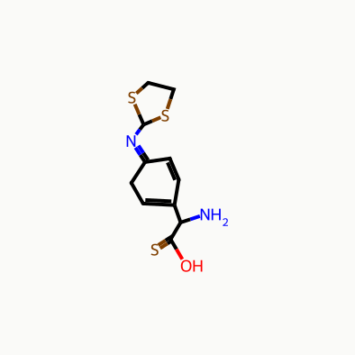 NC(C(O)=S)C1=CCC(=NC2SCCS2)C=C1